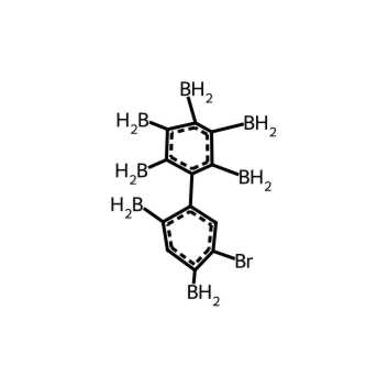 Bc1cc(B)c(-c2c(B)c(B)c(B)c(B)c2B)cc1Br